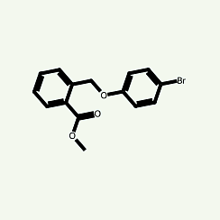 COC(=O)c1ccccc1COc1ccc(Br)cc1